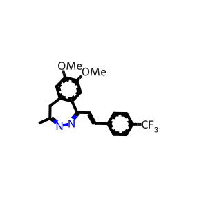 COc1cc2c(cc1OC)C(/C=C/c1ccc(C(F)(F)F)cc1)=NN=C(C)C2